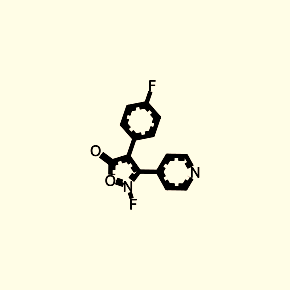 O=c1on(F)c(-c2ccncc2)c1-c1ccc(F)cc1